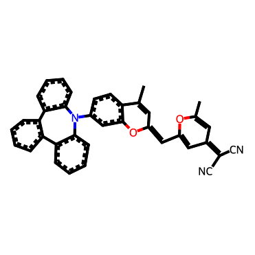 CC1=CC(=C(C#N)C#N)C=C(/C=C2\C=C(C)c3ccc(N4c5ccccc5-c5ccccc5-c5ccccc54)cc3O2)O1